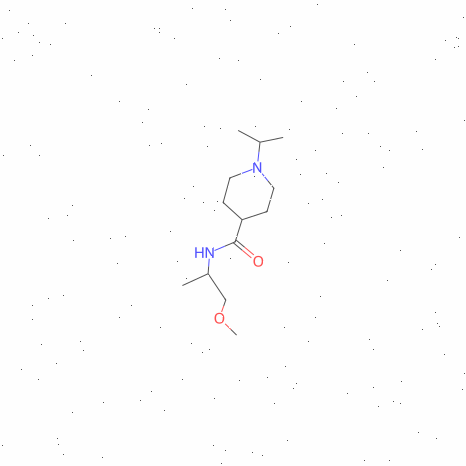 COCC(C)NC(=O)C1CCN(C(C)C)CC1